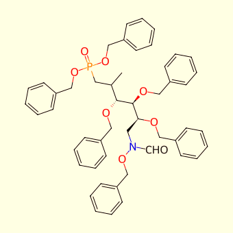 CC(CP(=O)(OCc1ccccc1)OCc1ccccc1)[C@@H](OCc1ccccc1)[C@@H](OCc1ccccc1)[C@H](CN(C=O)OCc1ccccc1)OCc1ccccc1